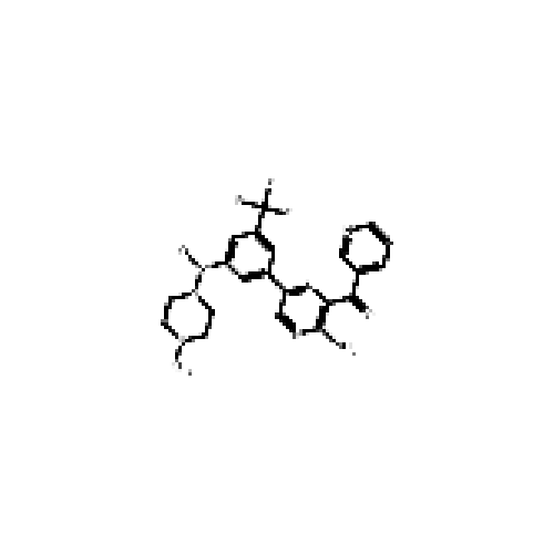 CN1CCN([S+]([O-])c2cc(-c3cnc(N)c(C(=O)c4cccnc4)n3)cc(C(F)(F)F)c2)CC1